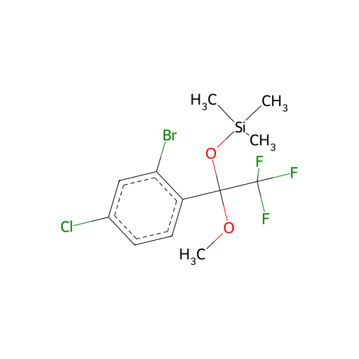 COC(O[Si](C)(C)C)(c1ccc(Cl)cc1Br)C(F)(F)F